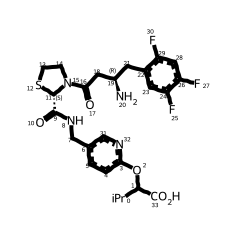 CC(C)C(Oc1ccc(CNC(=O)[C@@H]2SCCN2C(=O)C[C@H](N)Cc2cc(F)c(F)cc2F)cn1)C(=O)O